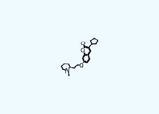 CN1CCCCC1CCOc1ccc2cc(C3CCCC3)c(=O)oc2c1